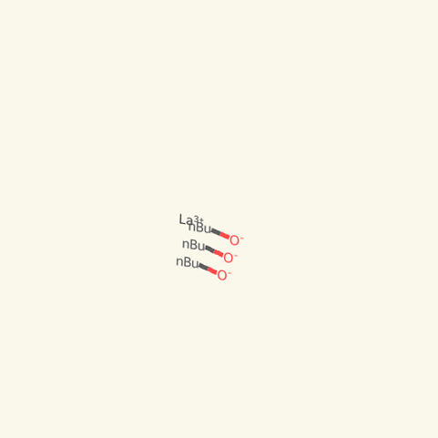 CCCC[O-].CCCC[O-].CCCC[O-].[La+3]